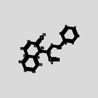 COC(CSc1ccccc1)n1c(=O)ccc2ccccc21